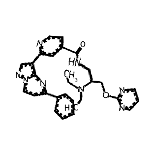 CCN(CC)C(CNC(=O)c1ccnc(-c2cnn3ccc(-c4ccccc4)nc23)c1)COc1ncccn1